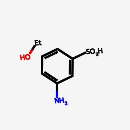 CCO.Nc1cccc(S(=O)(=O)O)c1